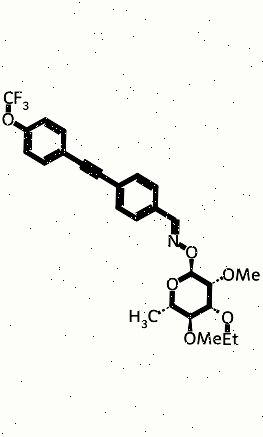 CCO[C@@H]1[C@@H](OC)[C@H](C)O[C@@H](O/N=C/c2ccc(C#Cc3ccc(OC(F)(F)F)cc3)cc2)[C@@H]1OC